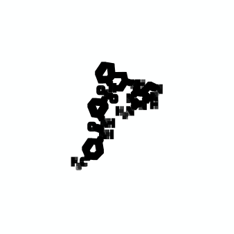 Nc1nc(NC2Cc3ccccc3N(S(=O)(=O)c3cccc(NC(=O)Nc4ccc(C(F)(F)F)cc4)c3)C2)c2cn[nH]c2n1